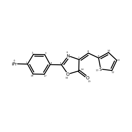 CC(C)c1ccc(C2=NC(=Cc3cccs3)C(=O)O2)cc1